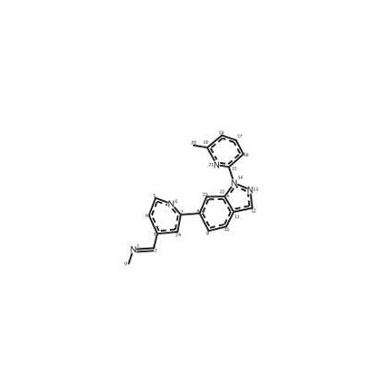 C/N=C/c1ccnc(-c2ccc3cnn(-c4cccc(C)n4)c3c2)c1